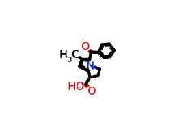 Cc1cc2n(c1C(=O)c1ccccc1)CCC2C(=O)O